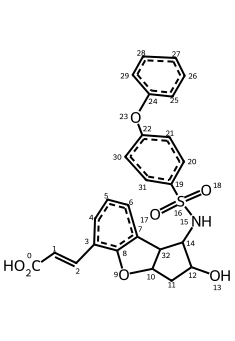 O=C(O)C=Cc1cccc2c1OC1CC(O)C(NS(=O)(=O)c3ccc(Oc4ccccc4)cc3)C21